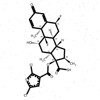 C[C@@H]1C[C@H]2[C@@H]3C[C@H](F)C4=CC(=O)C=C[C@]4(C)[C@@]3(F)[C@@H](O)C[C@]2(C)[C@@]1(OC(=O)c1cc(Cl)sc1Cl)C(=O)S